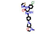 CN1CCOC2(CCN(c3ccc(-c4nc(C(=O)Nc5nccs5)c(-c5ccc(Cl)cc5)[nH]4)cc3)CC2)C1